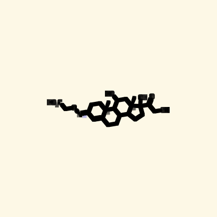 C[C@]12CC/C(=N\OCC(=O)O)C=C1CCC1C2C(O)C[C@@]2(C)C1CCC2(O)C(=O)CO